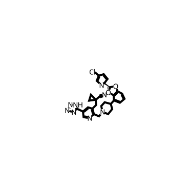 N#CC1(Cc2cc(-c3nnn[nH]3)cnc2CN2CCC(c3cccc4c3O[C@@H](c3ccc(Cl)cn3)O4)CC2)CC1